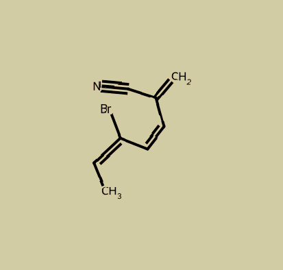 C=C(C#N)/C=C\C(Br)=C/C